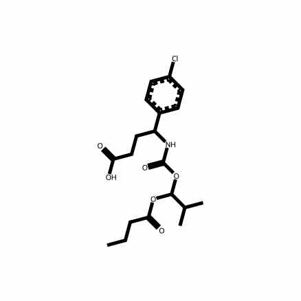 CCCC(=O)OC(OC(=O)NC(CCC(=O)O)c1ccc(Cl)cc1)C(C)C